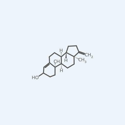 C=C1CC[C@H]2[C@@H]3CCC4=CC(O)CC[C@]4(C)[C@@H]3CC[C@]12C